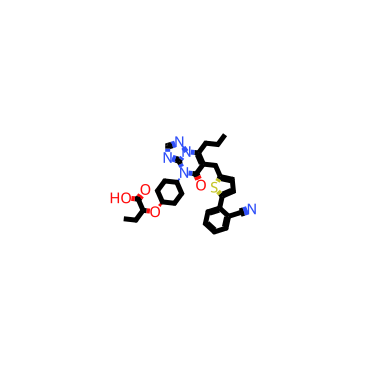 CCCc1c(Cc2ccc(-c3ccccc3C#N)s2)c(=O)n([C@H]2CC[C@H](OC(CC)C(=O)O)CC2)c2ncnn12